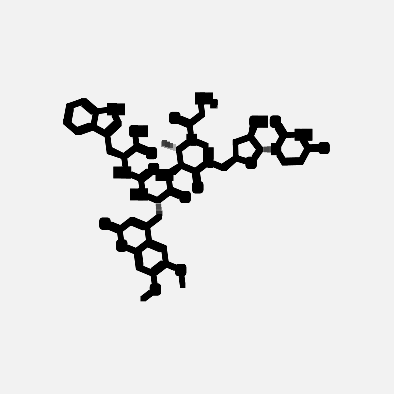 COc1cc2oc(=O)cc(C[C@H](NC(=O)N[C@@H](Cc3c[nH]c4ccccc34)C(=O)O)C(=O)N[C@H](C(=O)NC[C@H]3C[C@@H](O)[C@H](n4ccc(=O)[nH]c4=O)O3)[C@H](C)N(C)C(=O)CN)c2cc1OC